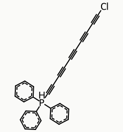 ClC#CC#CC#CC#CC#C[PH](c1ccccc1)(c1ccccc1)c1ccccc1